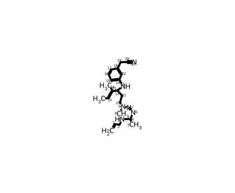 C=CCNC(C)/N=N\N(C)CCC(Nc1cccc(CC#N)c1)/C(C)=C/C